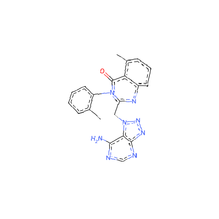 Cc1ccccc1-n1c(Cn2nnc3ncnc(N)c32)nc2cccc(C)c2c1=O